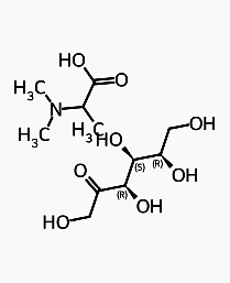 CC(C(=O)O)N(C)C.O=C(CO)[C@H](O)[C@@H](O)[C@H](O)CO